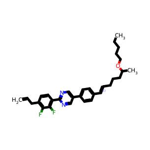 C=CCc1ccc(-c2ncc(-c3ccc(/C=C/CCCC(C)OCCCCC)cc3)cn2)c(F)c1F